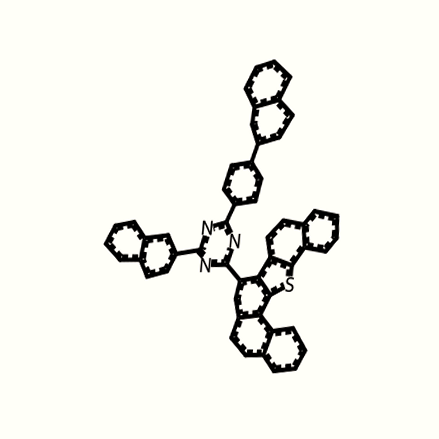 c1ccc2cc(-c3ccc(-c4nc(-c5ccc6ccccc6c5)nc(-c5cc6ccc7ccccc7c6c6sc7c8ccccc8ccc7c56)n4)cc3)ccc2c1